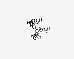 NC(=O)O.O=C(O)Nc1nc2ccc(-c3ccc(Cc4n[nH]c(=O)c5ccccc45)o3)cc2[nH]1